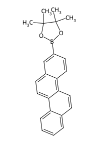 CC1(C)OB(c2ccc3c(ccc4c5ccccc5ccc34)c2)OC1(C)C